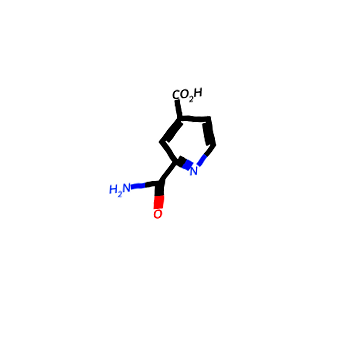 NC(=O)c1cc(C(=O)O)ccn1